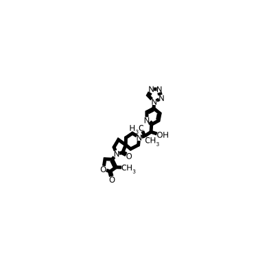 CC1=C(N2CCC3(CCN(C(C)(C)C(O)c4ccc(-n5cnnn5)cn4)CC3)C2=O)COC1=O